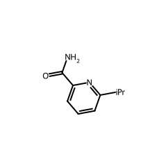 CC(C)c1cccc(C(N)=O)n1